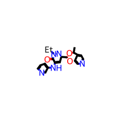 CCn1nc(C(=O)OC(C)c2ccncc2)cc(Nc2cccnc2)c1=O